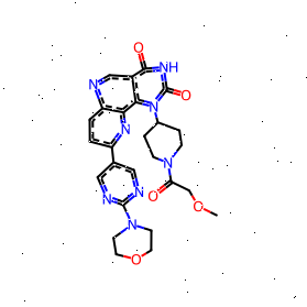 COCC(=O)N1CCC(n2c(=O)[nH]c(=O)c3cnc4ccc(-c5cnc(N6CCOCC6)nc5)nc4c32)CC1